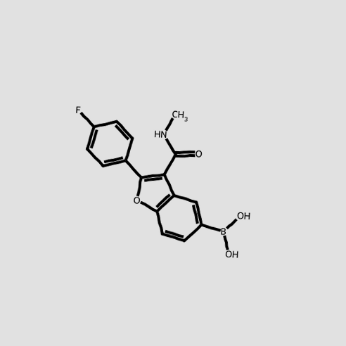 CNC(=O)c1c(-c2ccc(F)cc2)oc2ccc(B(O)O)cc12